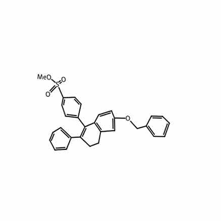 COS(=O)(=O)c1ccc(C2=C(c3ccccc3)CCc3cc(OCc4ccccc4)ccc32)cc1